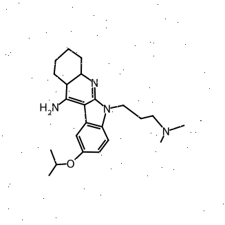 CC(C)Oc1ccc2c(c1)c1c(n2CCCN(C)C)=NC2CCCCC2C=1N